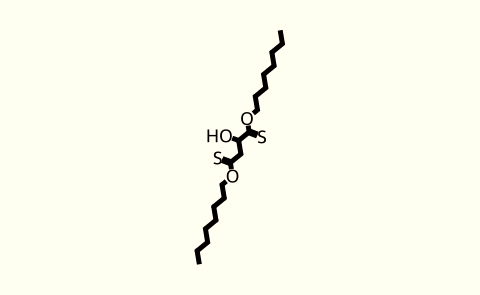 CCCCCCCCOC(=S)CC(O)C(=S)OCCCCCCCC